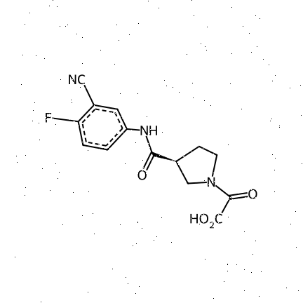 N#Cc1cc(NC(=O)[C@H]2CCN(C(=O)C(=O)O)C2)ccc1F